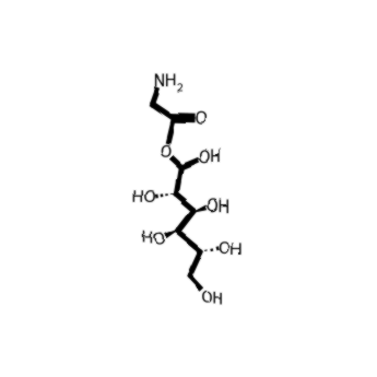 NCC(=O)OC(O)[C@@H](O)[C@@H](O)[C@H](O)[C@H](O)CO